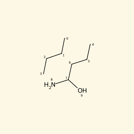 CCCC.CCCC(N)O